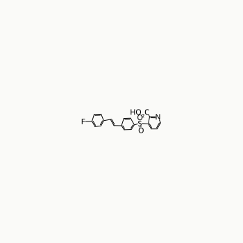 O=C(O)c1ncccc1S(=O)(=O)c1ccc(C=Cc2ccc(F)cc2)cc1